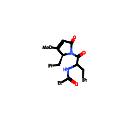 CCC(=O)NC(CC(C)C)C(=O)N1C(=O)C=C(OC)[C@@H]1CC(C)C